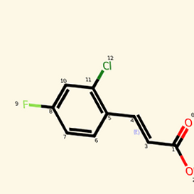 O=C(O)/C=C/c1ccc(F)cc1Cl